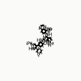 COc1cc(N2CCN(C)CC2)c(/C(C=N)=C/NC(C)C)cc1Nc1nc(Nc2ccc3nccnc3c2P(C)(C)=O)c2cc[nH]c2n1